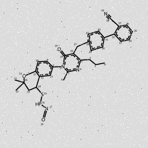 CCCc1nc(C)n(-c2ccc3c(c2)C(SPN=O)CC(C)(C)O3)c(=O)c1Cc1ccc(-c2ccccc2C#N)cc1